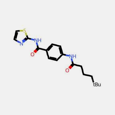 CC(C)(C)CCCC(=O)Nc1ccc(C(=O)Nc2nccs2)cc1